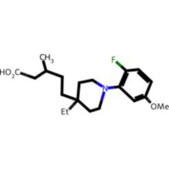 CCC1(CCC(C)CC(=O)O)CCN(c2cc(OC)ccc2F)CC1